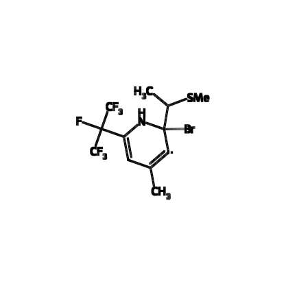 CSC(C)C1(Br)[C]=C(C)C=C(C(F)(C(F)(F)F)C(F)(F)F)N1